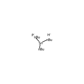 CCC[CH2][Sn]([CH2]CCC)[CH2]CCC.[H-].[P]